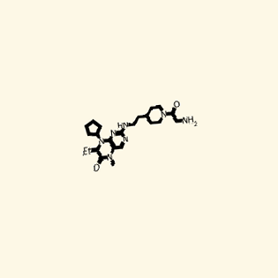 CCC1C(=O)N(C)c2cnc(NCCC3CCN(C(=O)CN)CC3)nc2N1C1CCCC1